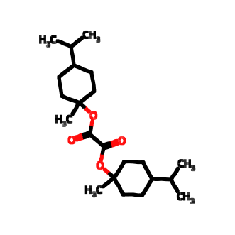 CC(C)C1CCC(C)(OC(=O)C(=O)OC2(C)CCC(C(C)C)CC2)CC1